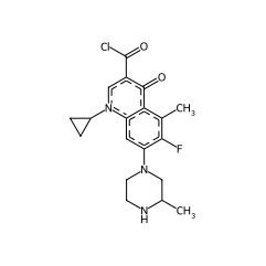 Cc1c(F)c(N2CCNC(C)C2)cc2c1c(=O)c(C(=O)Cl)cn2C1CC1